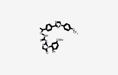 COc1ccc(C(C)C)c(N2C(=O)CS/C2=N\C(=S)NOC(C)c2ccc(-c3ncn(-c4ccc(OC(F)(F)F)cc4)n3)cc2)c1